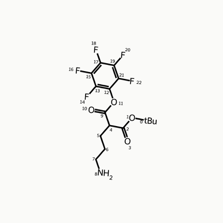 CC(C)(C)OC(=O)C(CCCN)C(=O)Oc1c(F)c(F)c(F)c(F)c1F